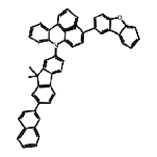 CC1(C)c2cc(-c3ccc4ccccc4c3)ccc2-c2ccc(N(c3ccc(-c4ccc5oc6ccccc6c5c4)cc3)c3ccccc3-c3ccccc3)cc21